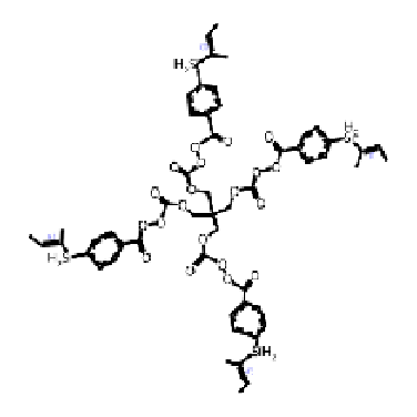 C/C=C(\C)[SiH2]c1ccc(C(=O)OOC(=O)OCC(COC(=O)OOC(=O)c2ccc([SiH2]/C(C)=C/C)cc2)(COC(=O)OOC(=O)c2ccc([SiH2]/C(C)=C/C)cc2)COC(=O)OOC(=O)c2ccc([SiH2]/C(C)=C/C)cc2)cc1